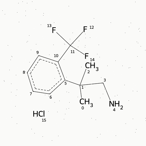 CC(C)(CN)c1ccccc1C(F)(F)F.Cl